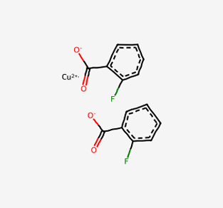 O=C([O-])c1ccccc1F.O=C([O-])c1ccccc1F.[Cu+2]